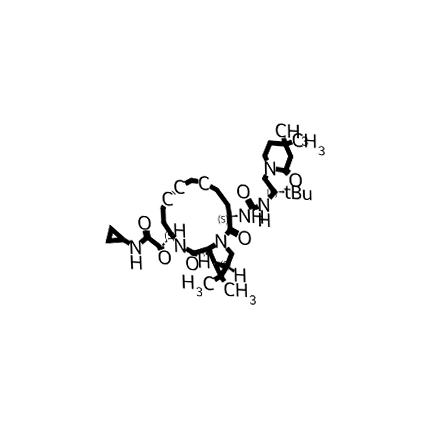 CC1(C)CCN(C[C@@H](NC(=O)N[C@H]2CCCCCCCC[C@@H](C(=O)C(=O)NC3CC3)NC(=O)[C@@H]3C4[C@H](CN3C2=O)C4(C)C)C(C)(C)C)C(=O)C1